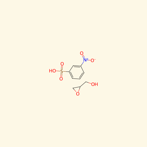 O=[N+]([O-])c1cccc(S(=O)(=O)O)c1.OCC1CO1